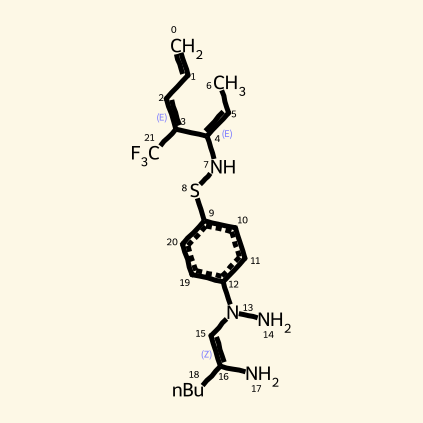 C=C/C=C(\C(=C/C)NSc1ccc(N(N)/C=C(\N)CCCC)cc1)C(F)(F)F